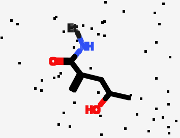 C=C(CC(C)O)C(=O)NCC